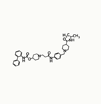 CC(C)NC(=O)C1CCN(Cc2ccc(NC(=O)CCN3CCC(OC(=O)Nc4ccccc4-c4ccccc4)CC3)cc2)CC1